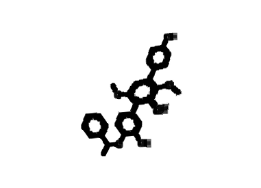 COc1cc(-c2ccc(O)cc2)c(OC)c(O)c1-c1ccc(OC(C)c2ccccc2)c(O)c1